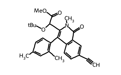 C#Cc1ccc2c(-c3ccc(C)cc3C)c(C(OC(C)(C)C)C(=O)OC)n(C)c(=O)c2c1